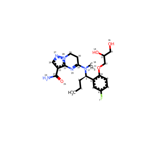 CCC[C@H](c1cc(F)ccc1OCC(O)CO)N(C)C1=Nc2c(C(N)=O)cnn2CC1